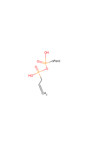 C=CCP(=O)(O)OP(=O)(O)CCCCC